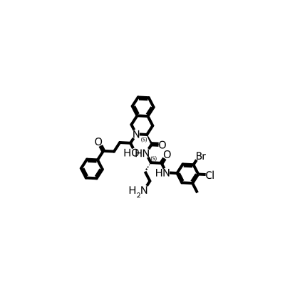 Cc1cc(NC(=O)[C@H](CCN)NC(=O)[C@@H]2Cc3ccccc3CN2C(O)CCC(=O)c2ccccc2)cc(Br)c1Cl